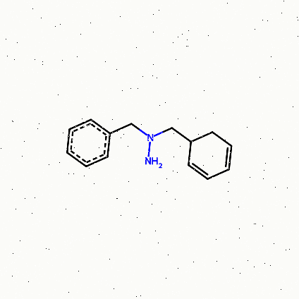 NN(Cc1ccccc1)CC1C=CC=CC1